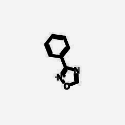 C1=NC(c2ccccc2)=[N+]O1